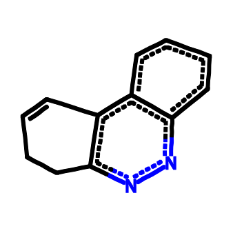 C1=Cc2c(nnc3ccccc23)CC1